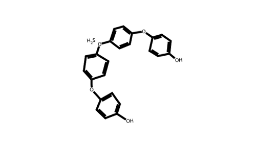 Oc1ccc(Oc2ccc(Oc3ccc(Oc4ccc(O)cc4)cc3)cc2)cc1.S